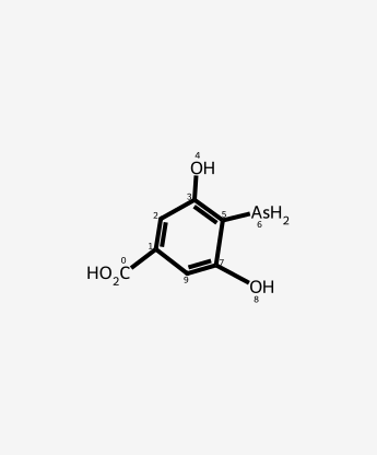 O=C(O)c1cc(O)c([AsH2])c(O)c1